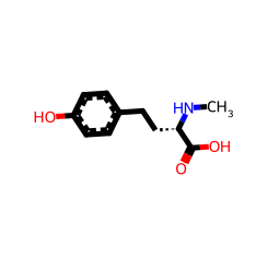 CN[C@@H](CCc1ccc(O)cc1)C(=O)O